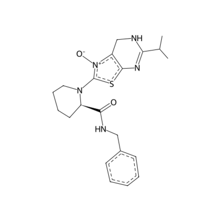 CC(C)C1=Nc2sc(N3CCCC[C@@H]3C(=O)NCc3ccccc3)[n+]([O-])c2CN1